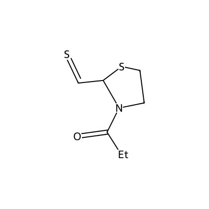 CCC(=O)N1CCSC1C=S